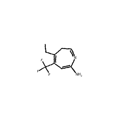 CCC1=C(C(F)(F)F)C=C(N)N=CC1